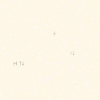 CN(CF)CCCN